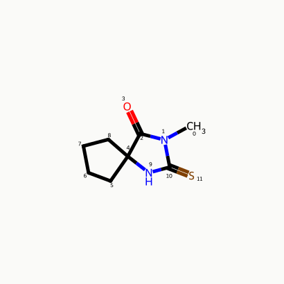 CN1C(=O)C2(CCCC2)NC1=S